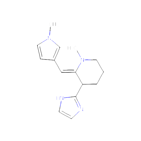 CN1CCCC(c2ncc[nH]2)C1=Cc1ccn(C)c1